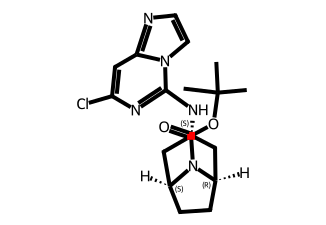 CC(C)(C)OC(=O)N1[C@@H]2CC[C@H]1C[C@H](Nc1nc(Cl)cc3nccn13)C2